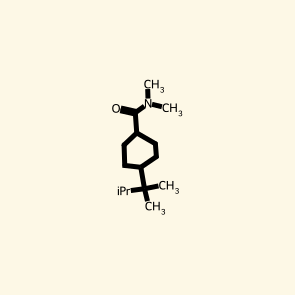 CC(C)C(C)(C)C1CCC(C(=O)N(C)C)CC1